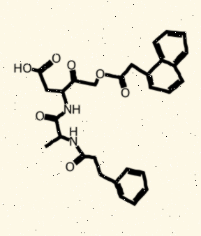 CC(NC(=O)CCc1ccccc1)C(=O)NC(CC(=O)O)C(=O)COC(=O)Cc1cccc2ccccc12